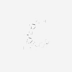 CC[S+]([O-])c1ccc(CNC(=O)c2cnc3c(c2)CN(CC2CCC(C(F)(F)F)CC2)[C@H]3C(C)C)nc1